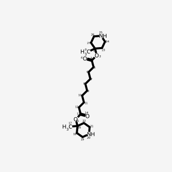 CC1(OC(=O)CCCCCCCCC(=O)OC2(C)CCNCC2)CCNCC1